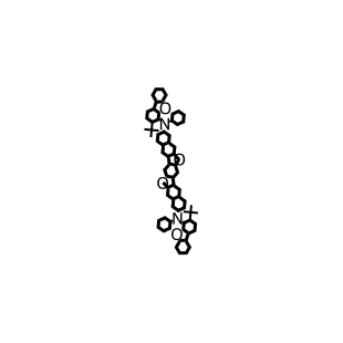 CC(C)(C)c1ccc2c(oc3ccccc32)c1N(c1ccccc1)c1ccc2cc3c(cc2c1)oc1cc2c(cc13)oc1cc3cc(N(c4ccccc4)c4c(C(C)(C)C)ccc5c4oc4ccccc45)ccc3cc12